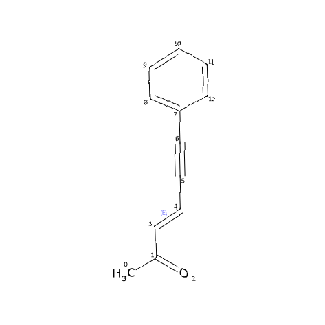 CC(=O)/C=C/C#Cc1ccccc1